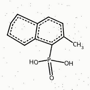 Cc1ccc2ccccc2c1P(=O)(O)O